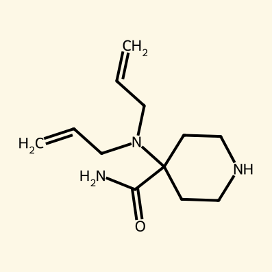 C=CCN(CC=C)C1(C(N)=O)CCNCC1